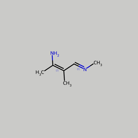 C/N=C/C(C)=C(/C)N